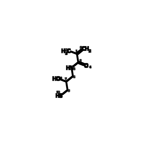 C=C(C)C(=O)NCC(O)CS